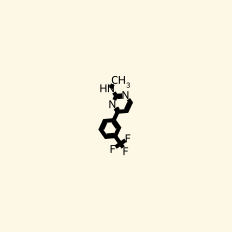 CNc1nccc(-c2cccc(C(F)(F)F)c2)n1